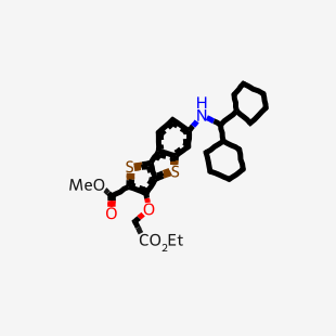 CCOC(=O)COc1c(C(=O)OC)sc2c1sc1cc(NC(C3CCCCC3)C3CCCCC3)ccc12